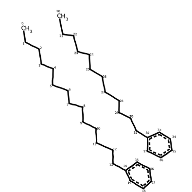 CCCCCCCCCCCCCCc1ccccc1.CCCCCCCCCCCCc1ccccc1